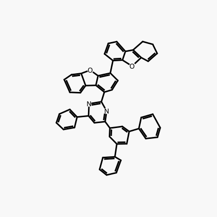 C1=Cc2oc3c(-c4ccc(-c5nc(-c6ccccc6)cc(-c6cc(-c7ccccc7)cc(-c7ccccc7)c6)n5)c5c4oc4ccccc45)cccc3c2CC1